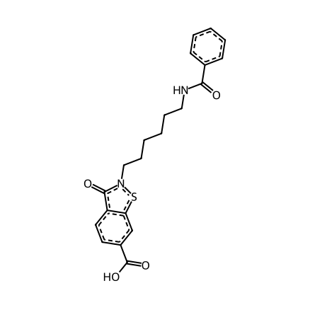 O=C(O)c1ccc2c(=O)n(CCCCCCNC(=O)c3ccccc3)sc2c1